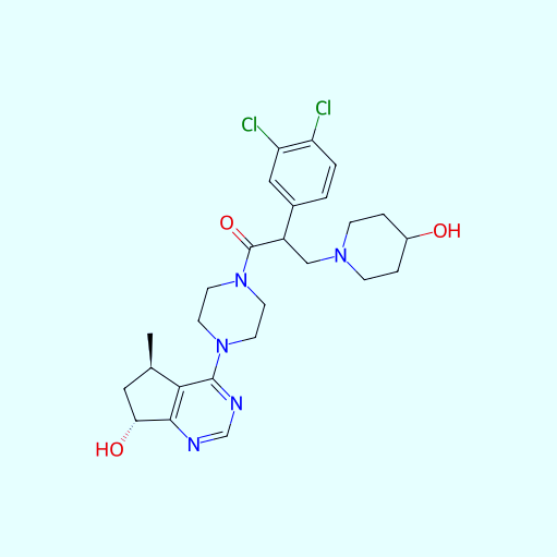 C[C@@H]1C[C@@H](O)c2ncnc(N3CCN(C(=O)C(CN4CCC(O)CC4)c4ccc(Cl)c(Cl)c4)CC3)c21